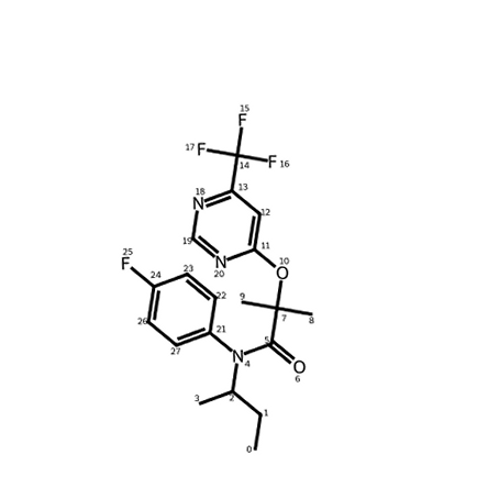 CCC(C)N(C(=O)C(C)(C)Oc1cc(C(F)(F)F)ncn1)c1ccc(F)cc1